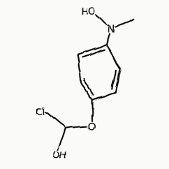 CN(O)c1ccc(OC(O)Cl)cc1